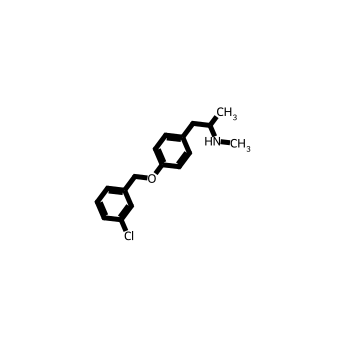 CNC(C)Cc1ccc(OCc2cccc(Cl)c2)cc1